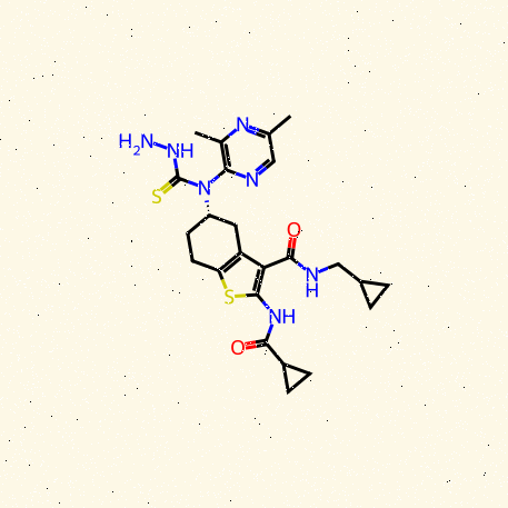 Cc1cnc(N(C(=S)NN)[C@H]2CCc3sc(NC(=O)C4CC4)c(C(=O)NCC4CC4)c3C2)c(C)n1